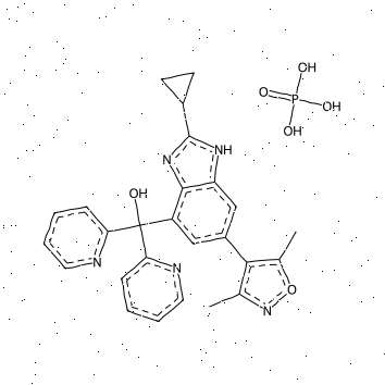 Cc1noc(C)c1-c1cc(C(O)(c2ccccn2)c2ccccn2)c2nc(C3CC3)[nH]c2c1.O=P(O)(O)O